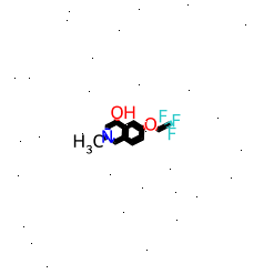 CN1Cc2ccc(OCC(F)(F)F)cc2C(O)C1